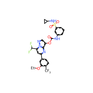 CCOc1cc(-c2cc(C(F)F)n3ncc(OC(=O)Nc4cccc(S(=O)(=O)NC5CC5)c4)c3n2)ccc1C(F)(F)F